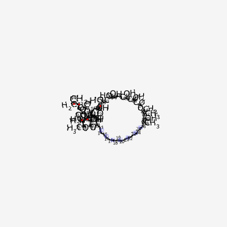 C=CCOC(=O)N[C@@H]1[C@H](O)[C@H](O[C@H]2/C=C/C=C/C=C/C=C/C=C/C=C/C=C/[C@H](C)[C@@H](O)[C@@H](C)[C@H](C)OC(=O)C[C@H](O)C[C@H](O)CC[C@@H](O)[C@H](O)C[C@H](O)C[C@]3(O)C[C@H](OC(=O)OCC=C)[C@@H](NC(N)=O)[C@H](C2)O3)O[C@H](C)[C@H]1O